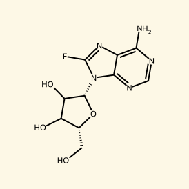 Nc1ncnc2c1nc(F)n2[C@@H]1O[C@H](CO)C(O)C1O